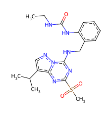 CCNC(=O)Nc1ccccc1CNc1nc(S(C)(=O)=O)nc2c(C(C)C)cnn12